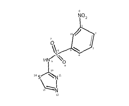 O=[N+]([O-])c1cccc(S(=O)(=O)Nc2nncs2)c1